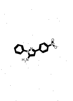 Nc1cc(-c2ccc([N+](=O)[O-])cc2)nn1-c1ccccc1